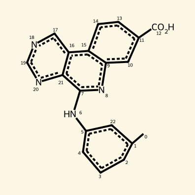 Cc1cccc(Nc2nc3cc(C(=O)O)ccc3c3cncnc23)c1